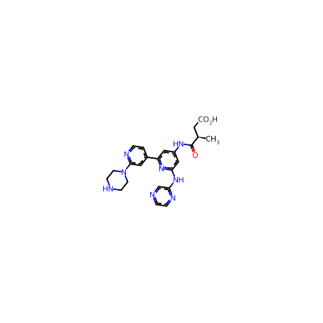 C[C@H](CC(=O)O)C(=O)Nc1cc(Nc2cnccn2)nc(-c2ccnc(N3CCNCC3)c2)c1